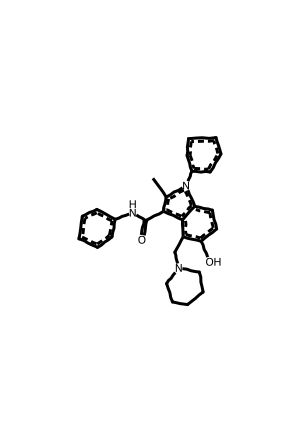 Cc1c(C(=O)Nc2ccccc2)c2c(CN3CCCCC3)c(O)ccc2n1-c1ccccc1